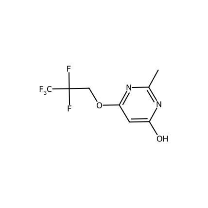 Cc1nc(O)cc(OCC(F)(F)C(F)(F)F)n1